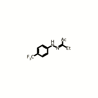 CCC(=NNc1ccc(C(F)(F)F)cc1)C(C)=O